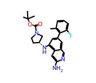 Cc1cccc(F)c1-c1cc(N[C@@H]2CCN(C(=O)OC(C)(C)C)C2)c2cc(N)ncc2c1